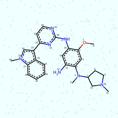 COc1cc(N(C)C2CCN(C)C2)c(N)cc1Nc1nccc(-c2cn(C)c3ccccc23)n1